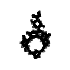 C=CC(=O)N1C[C@H](C)N(c2nc(=O)n3c4nc(c(F)cc24)-c2cc(ccc2F)NCc2cn(nn2)Cc2cnc(C(C)C)c-3c2)C[C@H]1C